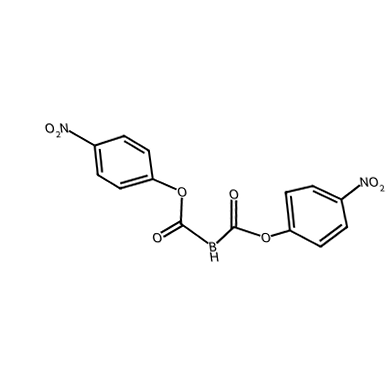 O=C(BC(=O)Oc1ccc([N+](=O)[O-])cc1)Oc1ccc([N+](=O)[O-])cc1